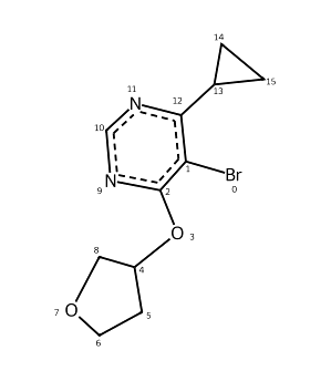 Brc1c(OC2CCOC2)ncnc1C1CC1